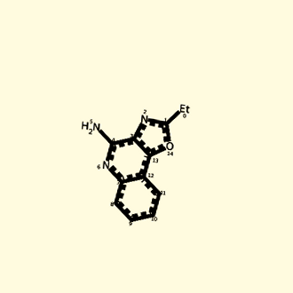 CCc1nc2c(N)nc3ccccc3c2o1